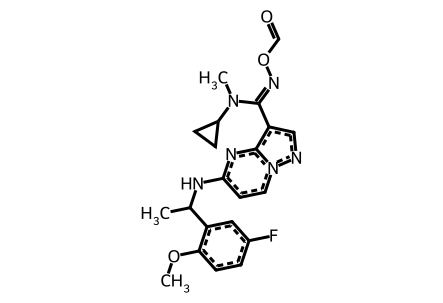 COc1ccc(F)cc1C(C)Nc1ccn2ncc(/C(=N/OC=O)N(C)C3CC3)c2n1